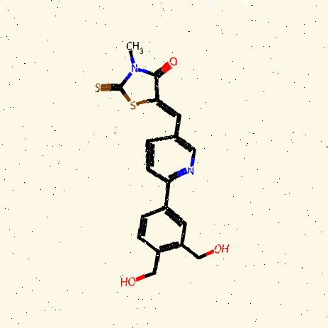 CN1C(=O)/C(=C/c2ccc(-c3ccc(CO)c(CO)c3)nc2)SC1=S